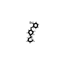 Brc1ccccc1Cc1ccc(-c2ccccc2)cc1